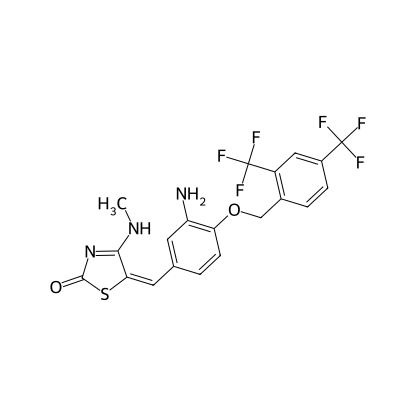 CNC1=NC(=O)SC1=Cc1ccc(OCc2ccc(C(F)(F)F)cc2C(F)(F)F)c(N)c1